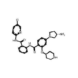 N[C@H]1CCN(c2ccc(C(=O)Nc3ccccc3C(=O)Nc3ccc(Cl)cn3)c(OC3CCNCC3)c2)C1